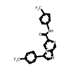 O=C(Nc1ccc(C(F)(F)F)cc1)c1cn2c(-c3ccc(C(F)(F)F)cc3)cnc2cn1